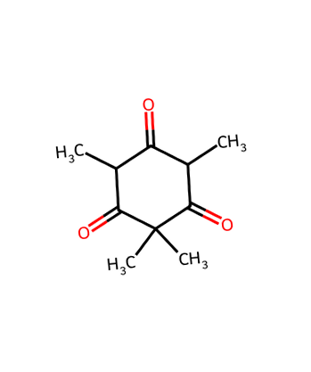 CC1C(=O)C(C)C(=O)C(C)(C)C1=O